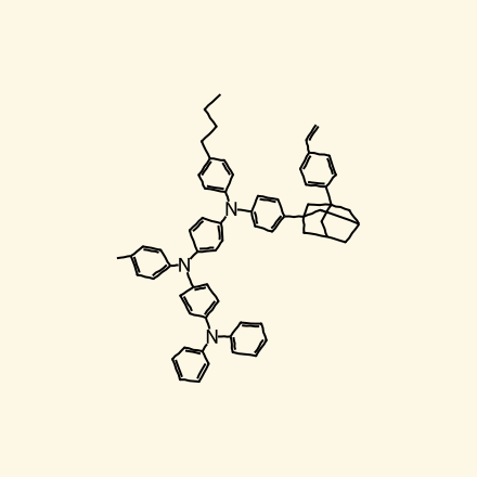 C=Cc1ccc(C23CC4CC(C2)CC(c2ccc(N(c5ccc(CCCC)cc5)c5ccc(N(c6ccc(C)cc6)c6ccc(N(c7ccccc7)c7ccccc7)cc6)cc5)cc2)(C4)C3)cc1